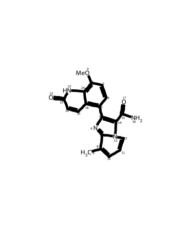 COc1ccc(-c2nc3c(C)cccn3c2C(N)=O)c2ccc(=O)[nH]c12